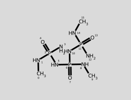 CNP(N)(=O)NP(=O)(NC)NP(N)(=O)NC